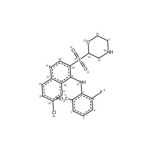 O=C(O)c1cccc(F)c1Nc1c(S(=O)(=O)C2CNCCO2)cnc2ccc(Cl)cc12